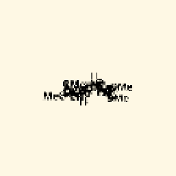 COc1cc(OC)cc(C(C)(C)OC(=O)Nc2ccc(NC(=O)OC(C)(C)c3cc(OC)cc(OC)c3)cc2)c1